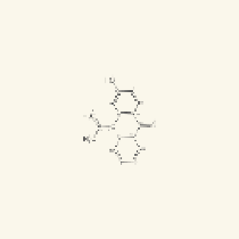 C=C(C)Oc1cc(O)ccc1C(=O)c1ccccc1